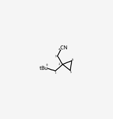 CC(C)(C)CC1(CC#N)CC1